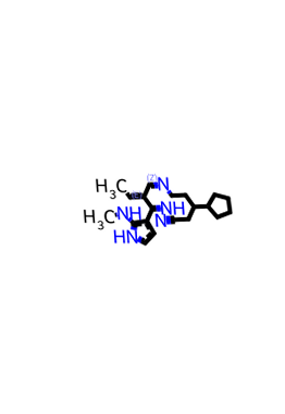 C/C=C(\C=N/CCC(CC#N)C1CCCC1)C(=N)c1cc[nH]c1NC